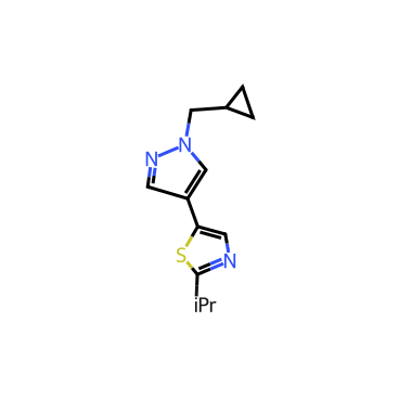 CC(C)c1ncc(-c2cnn(CC3CC3)c2)s1